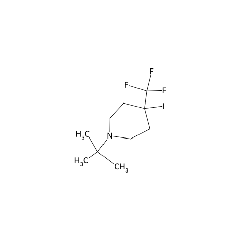 CC(C)(C)N1CCC(I)(C(F)(F)F)CC1